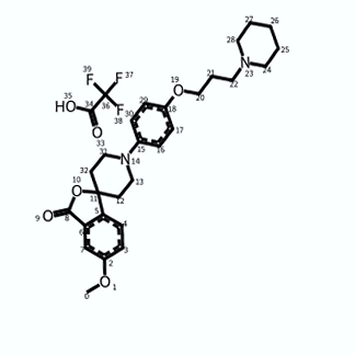 COc1ccc2c(c1)C(=O)OC21CCN(c2ccc(OCCCN3CCCCC3)cc2)CC1.O=C(O)C(F)(F)F